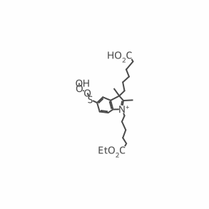 CCOC(=O)CCCCC[N+]1=C(C)C(C)(CCCCCC(=O)O)c2cc(SOOO)ccc21